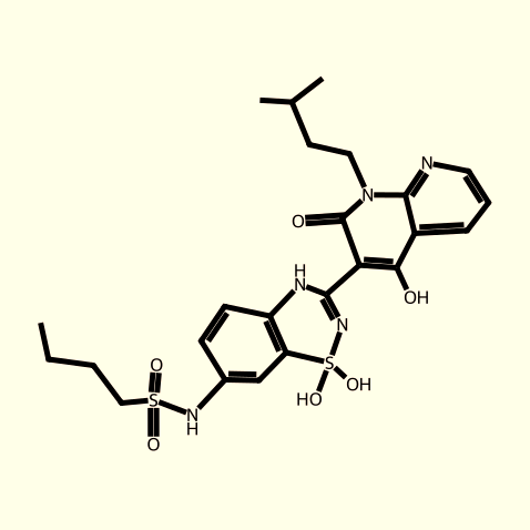 CCCCS(=O)(=O)Nc1ccc2c(c1)S(O)(O)N=C(c1c(O)c3cccnc3n(CCC(C)C)c1=O)N2